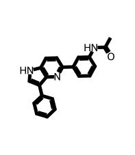 CC(=O)Nc1cccc(-c2ccc3[nH]cc(-c4ccccc4)c3n2)c1